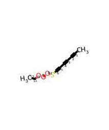 CC#CC#CC#CSOOOCC